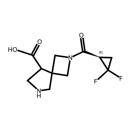 O=C(O)C1CNCC12CN(C(=O)[C@H]1CC1(F)F)C2